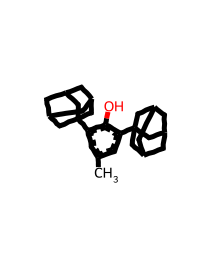 Cc1cc(C23CC4CC(CC(C4)C2)C3)c(O)c(C23CC4CC(CC(C4)C2)C3)c1